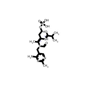 C/C(=C(CCOP(=O)(O)O)/[SH]=C(\O)C(C)C)N(C=O)Cc1cnc(C)nc1N